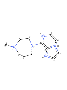 CC(C)N1CCCN(c2nccn3ccnc23)CC1